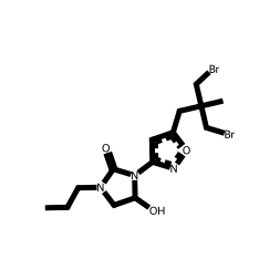 CCCN1CC(O)N(c2cc(CC(C)(CBr)CBr)on2)C1=O